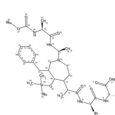 COC(=O)[C@@H](NC(=O)[C@H](NC(=O)C(C)C1CCN([C@H](C)NC(=O)[C@H](C)NC(=O)OC(C)(C)C)CC(Cc2ccccc2)C1O[Si](C)(C)C(C)(C)C)C(C)C)C(C)C